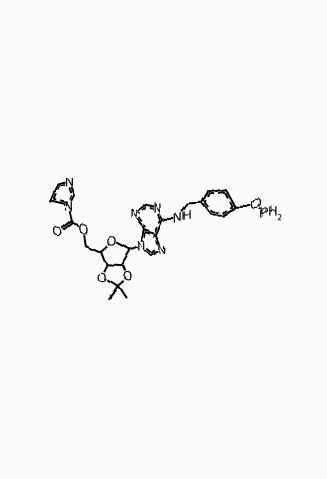 CC1(C)OC2C(COC(=O)n3ccnc3)OC(n3cnc4c(NCc5ccc(OP)cc5)ncnc43)C2O1